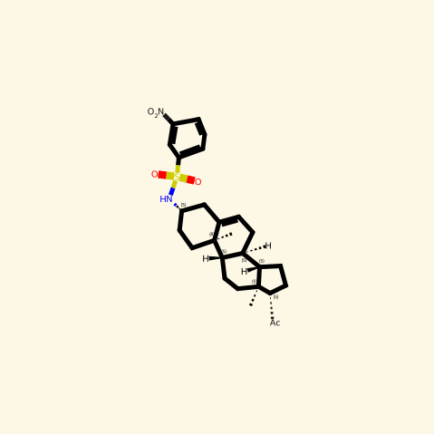 CC(=O)[C@H]1CC[C@H]2[C@@H]3CC=C4C[C@@H](NS(=O)(=O)c5cccc([N+](=O)[O-])c5)CC[C@]4(C)[C@H]3CC[C@]12C